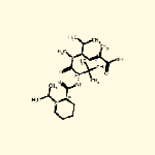 C/C(=C\C(C(C)C)N(C)C(=O)[C@@H](NC(=O)[C@H]1CCCCN1C(C)C)C(C)(C)C)C(=O)O